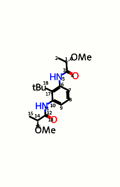 CO[C@@H](C)C(=O)Nc1cccc(NC(=O)[C@H](C)OC)c1C(C)(C)C